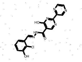 O=C(N/N=C/c1cccc(O)c1Cl)c1cnc(-c2cnccn2)nc1O